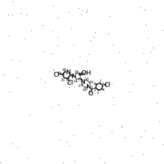 O=C(c1ccc(Cl)cc1)N1CCN(C2CN(c3ncc(Cl)cc3Cl)C[C@H]2O)CC1